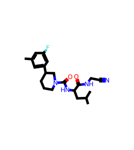 Cc1cc(F)cc(C2CCCN(C(=O)NC(CC(C)C)C(=O)NCC#N)C2)c1